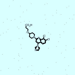 O=C(O)CCOC1CCN(c2cc(-n3ccnc3)c3ccc(Cl)c(Cl)c3n2)CC1